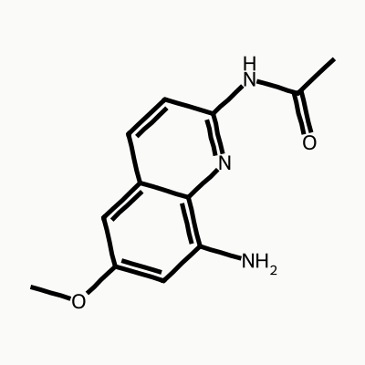 COc1cc(N)c2nc(NC(C)=O)ccc2c1